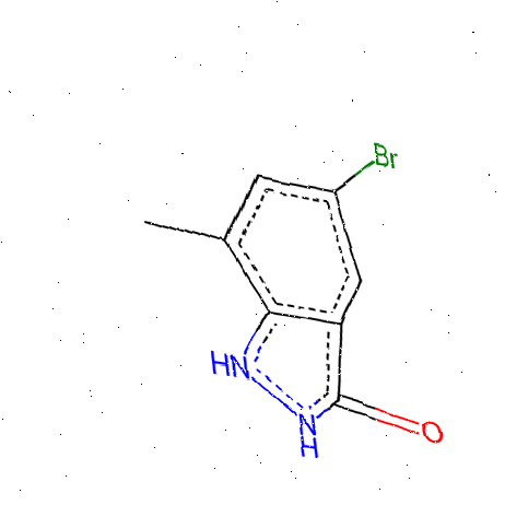 Cc1cc(Br)cc2c(=O)[nH][nH]c12